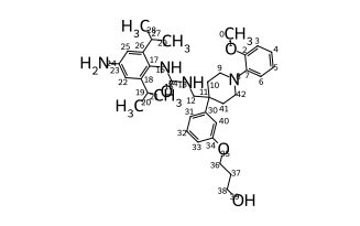 COc1ccccc1N1CCC(CNC(=O)Nc2c(C(C)C)cc(N)cc2C(C)C)(c2cccc(OCCCO)c2)CC1